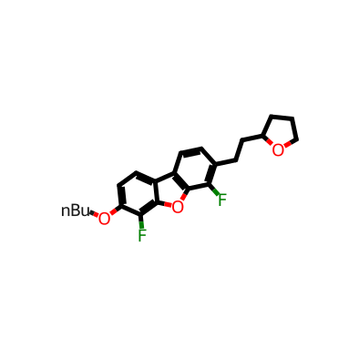 CCCCOc1ccc2c(oc3c(F)c(CCC4CCCO4)ccc32)c1F